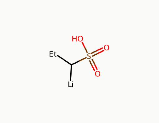 [Li][CH](CC)S(=O)(=O)O